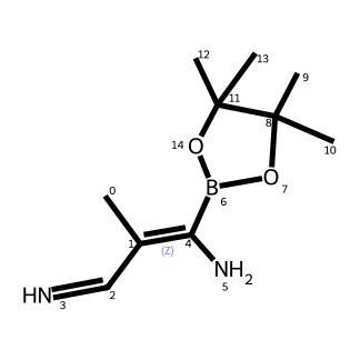 C/C(C=N)=C(/N)B1OC(C)(C)C(C)(C)O1